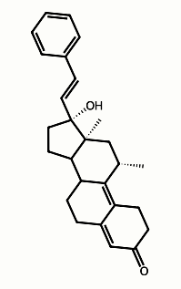 C[C@H]1C[C@@]2(C)C(CC[C@@]2(O)/C=C/c2ccccc2)C2CCC3=CC(=O)CCC3=C21